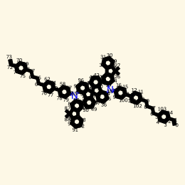 C=Cc1ccc(CCCCc2ccc(-c3ccc(N(c4ccc5c(c4)C(C)(C)c4ccccc4-5)c4cccc5c4-c4ccccc4C54c5ccccc5-c5c(N(c6ccc(-c7ccc(CCCCc8ccc(C=C)cc8)cc7)cc6)c6ccc7c(c6)C(C)(C)c6ccccc6-7)cccc54)cc3)cc2)cc1